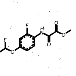 COC(=O)C(=O)Nc1ccc(OC(F)F)cc1F